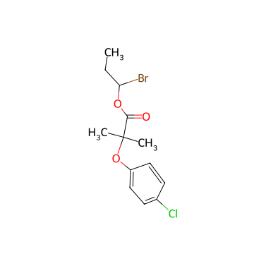 CCC(Br)OC(=O)C(C)(C)Oc1ccc(Cl)cc1